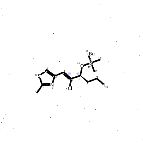 Cc1nc(/C=C(\Cl)[C@H](CCI)O[Si](C)(C)C(C)(C)C)cs1